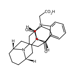 O=C(O)Cn1c(=O)n(C2C[C@H]3CCC[C@@H](C2)N3C2C[C@H]3CCC[C@@H](C2)C3)c(=O)c2ccccc21